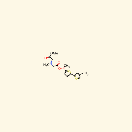 COC(=O)CN(C)CC(=O)OB(C)c1ccc(-c2cc(C)cs2)s1